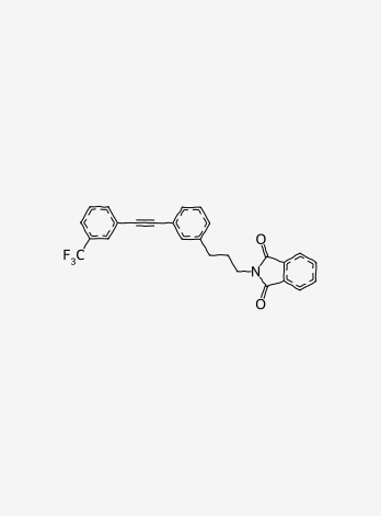 O=C1c2ccccc2C(=O)N1CCCc1cccc(C#Cc2cccc(C(F)(F)F)c2)c1